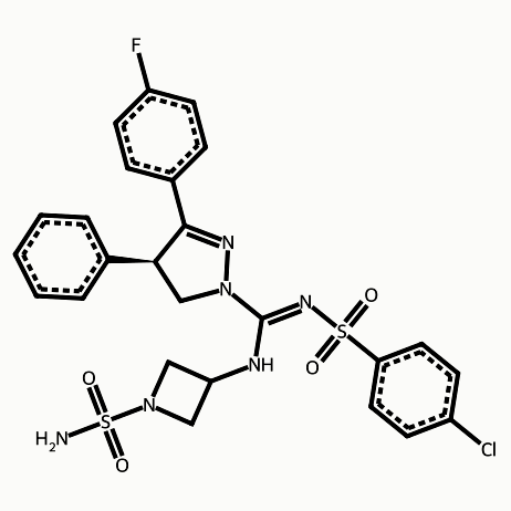 NS(=O)(=O)N1CC(N/C(=N\S(=O)(=O)c2ccc(Cl)cc2)N2C[C@@H](c3ccccc3)C(c3ccc(F)cc3)=N2)C1